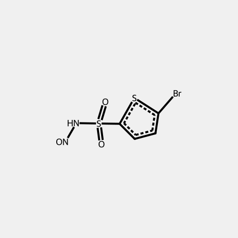 O=NNS(=O)(=O)c1ccc(Br)s1